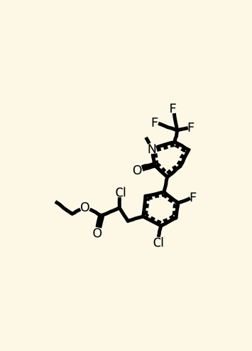 CCOC(=O)C(Cl)Cc1cc(-c2ccc(C(F)(F)F)n(C)c2=O)c(F)cc1Cl